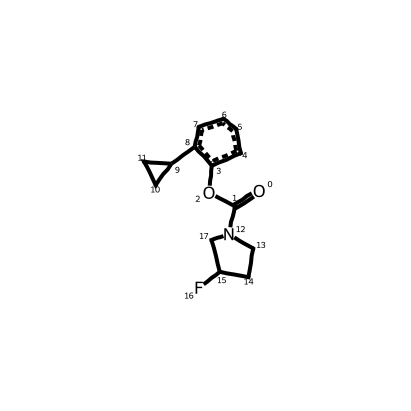 O=C(Oc1ccccc1C1CC1)N1CCC(F)C1